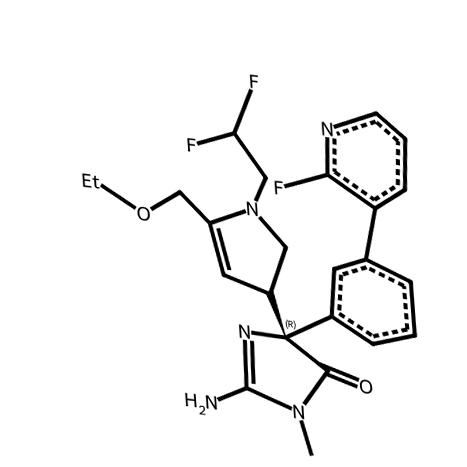 CCOCC1=CC([C@]2(c3cccc(-c4cccnc4F)c3)N=C(N)N(C)C2=O)CN1CC(F)F